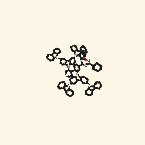 c1ccc(-c2nc(-c3ccccc3)nc(-c3ccc(-c4ccncc4-n4c5ccc(-n6c7ccccc7c7ccccc76)cc5c5cc(-n6c7ccccc7c7ccccc76)ccc54)c(-n4c5ccc(-n6c7ccccc7c7ccccc76)cc5c5cc(-n6c7ccccc7c7ccccc76)ccc54)c3)n2)cc1